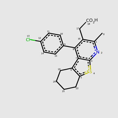 Cc1nc2sc3c(c2c(-c2ccc(Cl)cc2)c1CC(=O)O)CCCC3